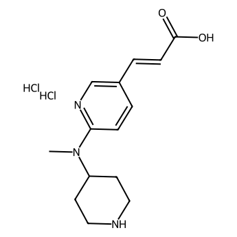 CN(c1ccc(/C=C/C(=O)O)cn1)C1CCNCC1.Cl.Cl